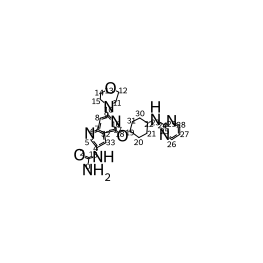 NC(=O)Nc1cnc2cc(N3CCOCC3)nc(O[C@H]3CC[C@@H](Nc4ncccn4)CC3)c2c1